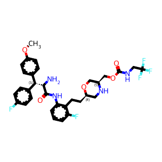 COc1ccc([C@@H](c2ccc(F)cc2)C(N)C(=O)Nc2cccc(F)c2CC[C@@H]2CN[C@H](COC(=O)NCC(F)(F)F)CO2)cc1